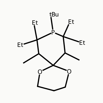 CCC1(CC)C(C)C2(OCCCO2)C(C)C(CC)(CC)P1C(C)(C)C